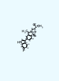 CC1c2cc(-c3c[nH]c4cc(F)ccc34)ccc2S(=O)(=O)N1CC[S+](C)[O-]